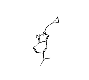 CC(C)c1ccc2nn(CC3CC3)cc2c1